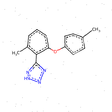 Cc1ccc(Oc2cccc(C)c2-c2nn[nH]n2)cc1